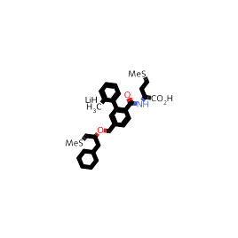 CSCCC(NC(=O)c1ccc(COC(CSC)CC2CCCCC2)cc1-c1ccccc1C)C(=O)O.[LiH]